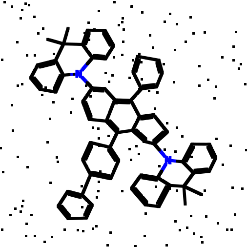 CC1(C)c2ccccc2N(c2ccc3c(-c4ccc(-c5ccccc5)cc4)c4cc(N5c6ccccc6C(C)(C)c6ccccc65)ccc4c(-c4ccccc4)c3c2)c2ccccc21